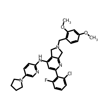 COc1ccc(CN2Cc3nc(-c4c(F)cccc4Cl)cc(Nc4ccc(N5CCCC5)cn4)c3C2)c(OC)c1